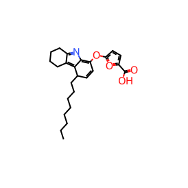 CCCCCCCCC1C=CC(Oc2ccc(C(=O)O)o2)=C2N=C3CCCCC3=C21